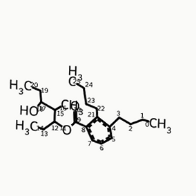 CCCCc1cccc(C(=O)OC(CC)C(C)C(O)CC)c1CCCC